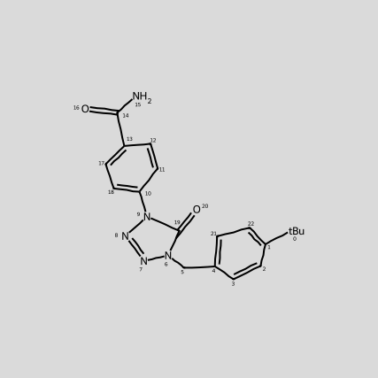 CC(C)(C)c1ccc(Cn2nnn(-c3ccc(C(N)=O)cc3)c2=O)cc1